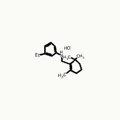 CCc1cccc(NCC2=C(C)CCCC2(C)C)c1.Cl